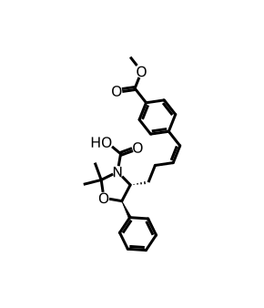 COC(=O)c1ccc(/C=C\CC[C@@H]2[C@@H](c3ccccc3)OC(C)(C)N2C(=O)O)cc1